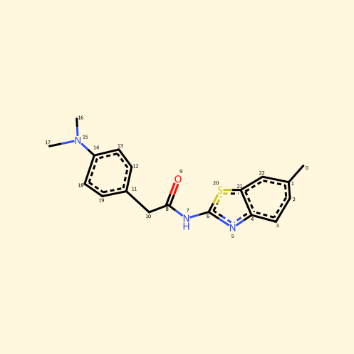 Cc1ccc2nc(NC(=O)Cc3ccc(N(C)C)cc3)sc2c1